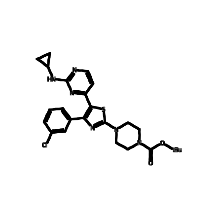 CC(C)(C)OC(=O)N1CCN(c2nc(-c3cccc(Cl)c3)c(-c3ccnc(NC4CC4)n3)s2)CC1